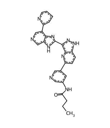 CCCC(=O)Nc1cncc(-c2ccc3[nH]nc(-c4nc5c(-c6ccccn6)cncc5[nH]4)c3n2)c1